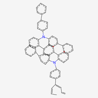 C=C/C=C(\C=C/C)c1ccc(N(c2ccc(-c3ccccc3)cc2)c2ccccc2-c2ccc(-c3ccccc3N(c3ccc(-c4ccccc4)cc3)c3ccc(-c4ccccc4)cc3)cc2)cc1